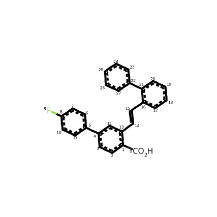 O=C(O)c1ccc(-c2ccc(F)cc2)cc1C=Cc1ccccc1-c1ccccc1